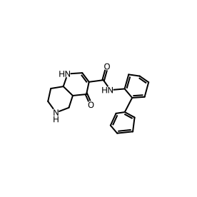 O=C(Nc1ccccc1-c1ccccc1)C1=CNC2CCNCC2C1=O